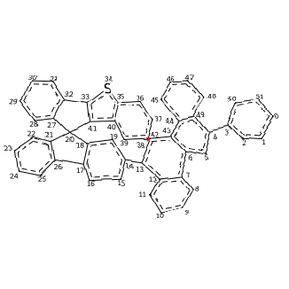 c1ccc(-c2cc3c4ccccc4c(-c4ccc5c(c4)C4(c6ccccc6-5)c5ccccc5-c5sc6ccccc6c54)cc3c3ccccc23)cc1